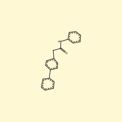 O=C(Cc1ccc(-c2cc[c]cc2)cc1)Nc1ccccc1